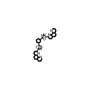 c1cc(-c2nnc(-c3ccc4ccc5cccnc5c4n3)o2)cc(-c2nnc(-c3ccc4ccc5cccnc5c4n3)o2)c1